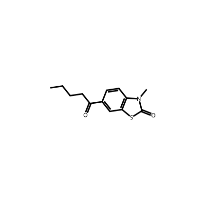 CCCCC(=O)c1ccc2c(c1)sc(=O)n2C